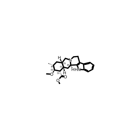 COC(=O)[C@H]1[C@H]2C[C@@H]3c4[nH]c5ccccc5c4CCN3C[C@H]2C[C@@H](C)[C@@H]1OC